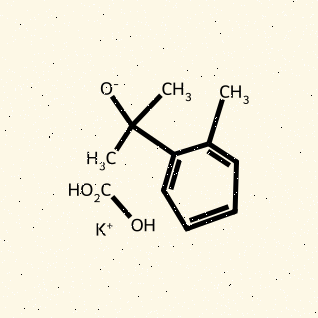 Cc1ccccc1C(C)(C)[O-].O=C(O)O.[K+]